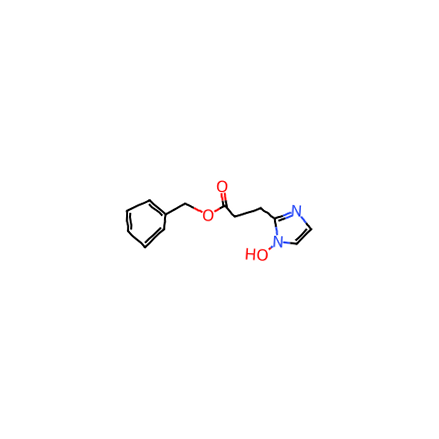 O=C(CCc1nccn1O)OCc1ccccc1